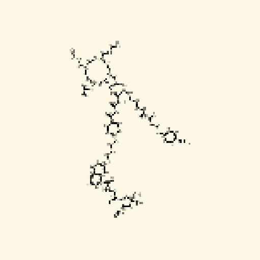 Cc1ccc(CCCC(=O)NCCCCC[C@H](NC(=O)CN2CCN(COC=O)CCN(COC=O)CCN(CC(=O)O)CC2)C(=O)NC(=O)CC(=O)N2CCN(CCCCOc3ccc4nccc(C(=O)NCC(=O)N5CC(C)(F)C[C@@H]5C#N)c4c3)CC2)cc1